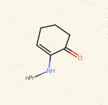 CCCNC1=CCCCC1=O